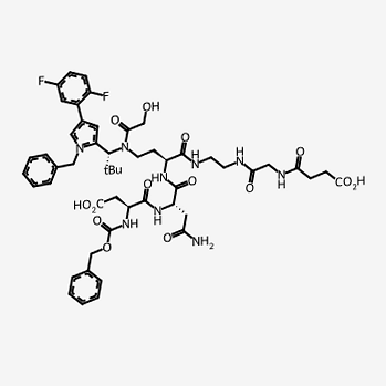 CC(C)(C)[C@H](c1cc(-c2cc(F)ccc2F)cn1Cc1ccccc1)N(CC[C@H](NC(=O)[C@H](CC(N)=O)NC(=O)[C@H](CC(=O)O)NC(=O)OCc1ccccc1)C(=O)NCCNC(=O)CNC(=O)CCC(=O)O)C(=O)CO